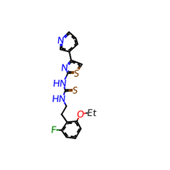 CCOc1cccc(F)c1CCNC(=S)Nc1nc(-c2cccnc2)cs1